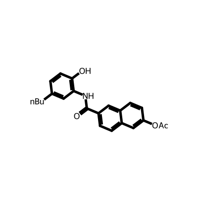 CCCCc1ccc(O)c(NC(=O)c2ccc3cc(OC(C)=O)ccc3c2)c1